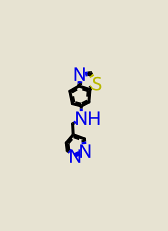 c1cc(CNc2ccc3ncsc3c2)cnn1